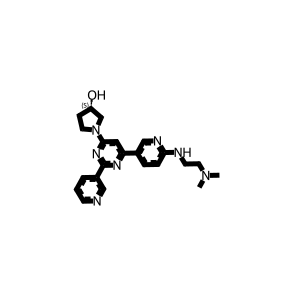 CN(C)CCNc1ccc(-c2cc(N3CC[C@H](O)C3)nc(-c3cccnc3)n2)cn1